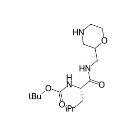 CC(C)C[C@H](NC(=O)OC(C)(C)C)C(=O)NCC1CNCCO1